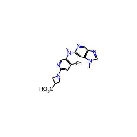 CCc1cc(N2CC(C(=O)O)C2)ncc1N(C)c1cc2c(cn1)ncn2C